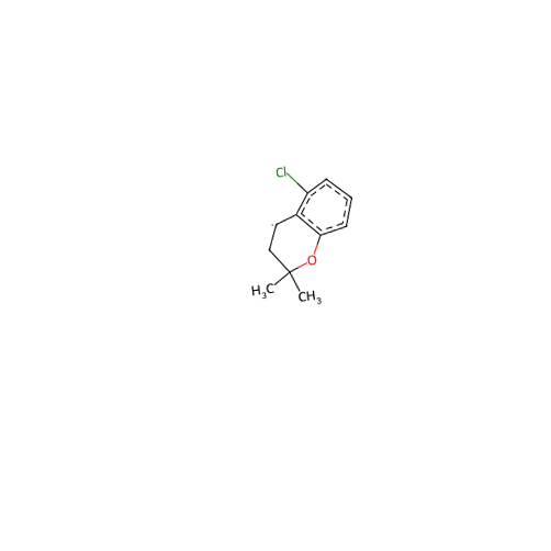 CC1(C)C[CH]c2c(Cl)cccc2O1